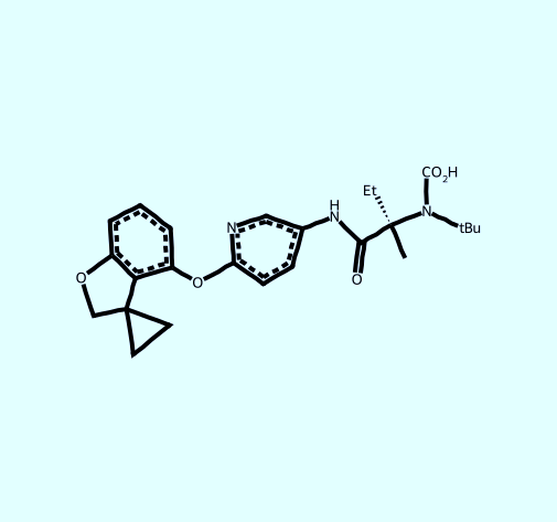 CC[C@](C)(C(=O)Nc1ccc(Oc2cccc3c2C2(CC2)CO3)nc1)N(C(=O)O)C(C)(C)C